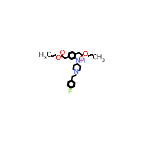 CCCOC(=O)Cc1ccc(CC(=O)OCCC)c(NC2CCN(CCc3ccc(F)cc3)CC2)c1